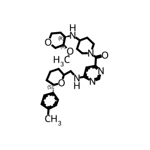 CO[C@H]1COCC[C@H]1NC1CCN(C(=O)c2cc(NCC3CCC[C@@H](c4ccc(C)cc4)O3)ncn2)CC1